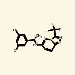 C[C@@H](Nc1ccc2nnc(C(F)(F)F)n2n1)c1cc(Cl)cc(Cl)c1